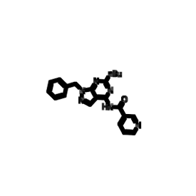 CCCCc1nc(NC(=O)c2cccnc2)c2cnn(Cc3ccccc3)c2n1